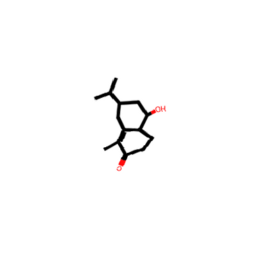 CC1=C2CC(C(C)C)CC(O)C2CCC1=O